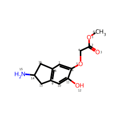 COC(=O)COc1cc2c(cc1O)CC(N)C2